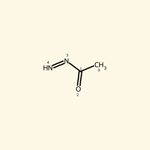 CC(=O)N=N